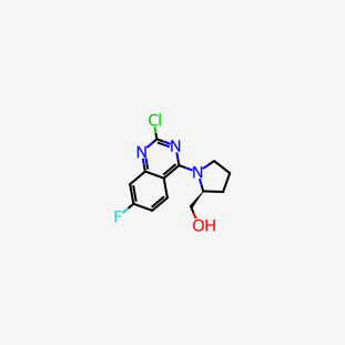 OC[C@@H]1CCCN1c1nc(Cl)nc2cc(F)ccc12